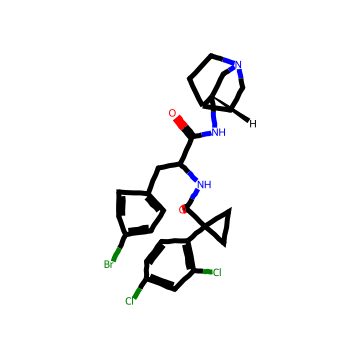 O=C(N[C@H]1CN2CCC1CC2)C(Cc1ccc(Br)cc1)NC(=O)C1(c2ccc(Cl)cc2Cl)CC1